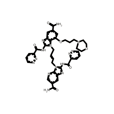 NC(=O)c1cnc2c(c1)nc(NC(=O)c1cccnn1)n2CC=CCn1c(NC(=O)c2cccnn2)nc2cc(C(N)=O)cc(OCCCN3CCOCC3)c21